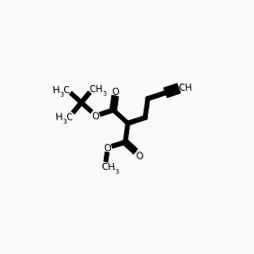 C#CCCC(C(=O)OC)C(=O)OC(C)(C)C